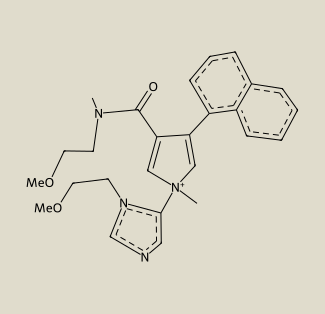 COCCN(C)C(=O)C1=C[N+](C)(c2cncn2CCOC)C=C1c1cccc2ccccc12